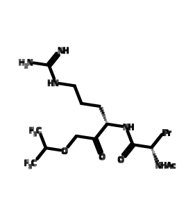 CC(=O)N[C@H](C(=O)N[C@@H](CCCNC(=N)N)C(=O)COC(C(F)(F)F)C(F)(F)F)C(C)C